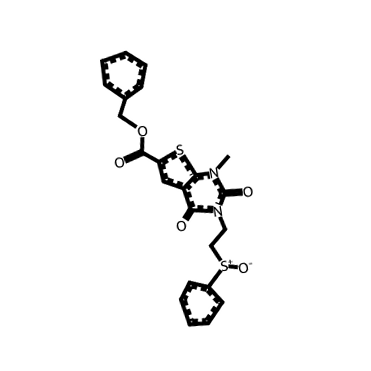 Cn1c(=O)n(CC[S+]([O-])c2ccccc2)c(=O)c2cc(C(=O)OCc3ccccc3)sc21